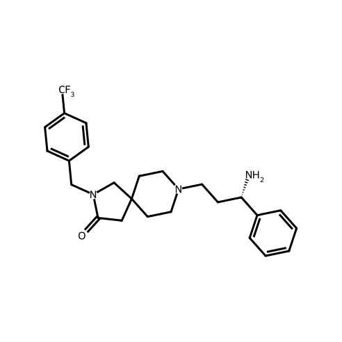 N[C@@H](CCN1CCC2(CC1)CC(=O)N(Cc1ccc(C(F)(F)F)cc1)C2)c1ccccc1